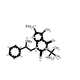 CCOC(=O)c1sc2c(c1C)c(=O)n(C(C)(C)C(=O)O)c(=O)n2CC(OCC(C)C)c1ccccc1